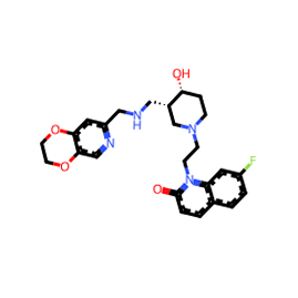 O=c1ccc2ccc(F)cc2n1CCN1CC[C@@H](O)[C@@H](CNCc2cc3c(cn2)OCCO3)C1